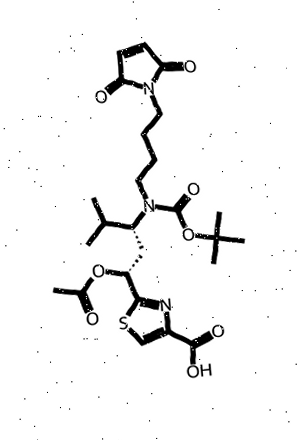 CC(=O)O[C@H](C[C@H](C(C)C)N(CCCCN1C(=O)C=CC1=O)C(=O)OC(C)(C)C)c1nc(C(=O)O)cs1